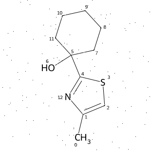 Cc1csc(C2(O)CCCCC2)n1